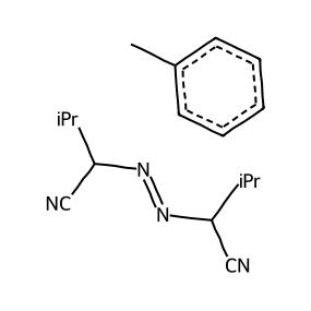 CC(C)C(C#N)N=NC(C#N)C(C)C.Cc1ccccc1